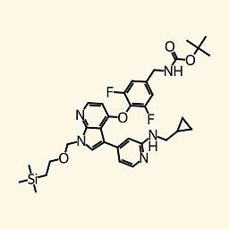 CC(C)(C)OC(=O)NCc1cc(F)c(Oc2ccnc3c2c(-c2ccnc(NCC4CC4)c2)cn3COCC[Si](C)(C)C)c(F)c1